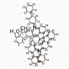 CC1(C)c2ccccc2-c2ccc(N(c3ccc(-c4ccccc4)cc3)c3cccc4c3-c3ccccc3C43c4ccccc4-c4ccc(N(c5ccccc5)c5ccccc5-c5ccccc5)cc43)cc21